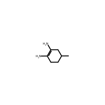 CC1CCC(N)=C(N)C1